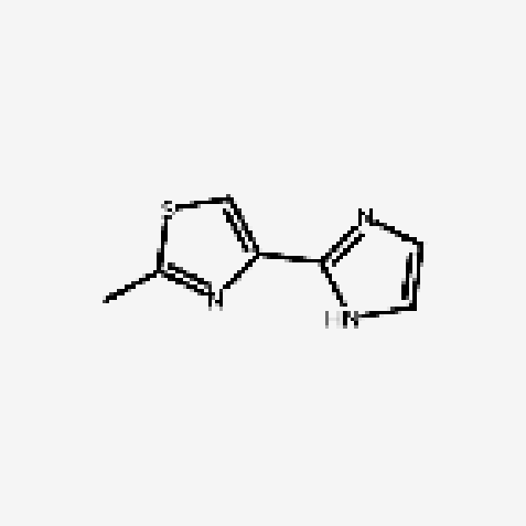 Cc1nc(-c2ncc[nH]2)cs1